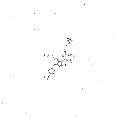 CCC\C=c1/c(Cc2ccc(C)nc2)c[nH]/c1=C(N)/N=C(\C)OCCOC